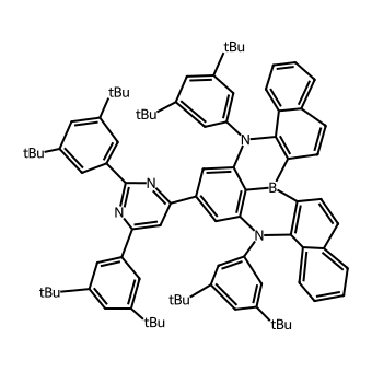 CC(C)(C)c1cc(-c2cc(-c3cc4c5c(c3)N(c3cc(C(C)(C)C)cc(C(C)(C)C)c3)c3c(ccc6ccccc36)B5c3ccc5ccccc5c3N4c3cc(C(C)(C)C)cc(C(C)(C)C)c3)nc(-c3cc(C(C)(C)C)cc(C(C)(C)C)c3)n2)cc(C(C)(C)C)c1